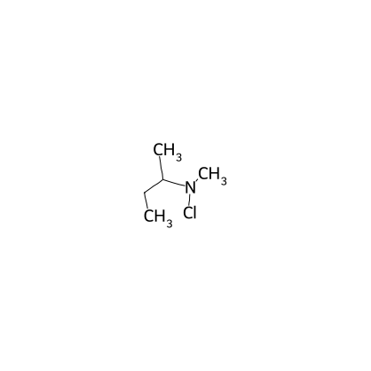 CCC(C)N(C)Cl